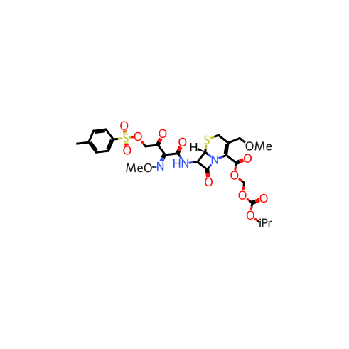 COCC1=C(C(=O)OCOC(=O)OC(C)C)N2C(=O)C(NC(=O)C(=NOC)C(=O)COS(=O)(=O)c3ccc(C)cc3)[C@@H]2SC1